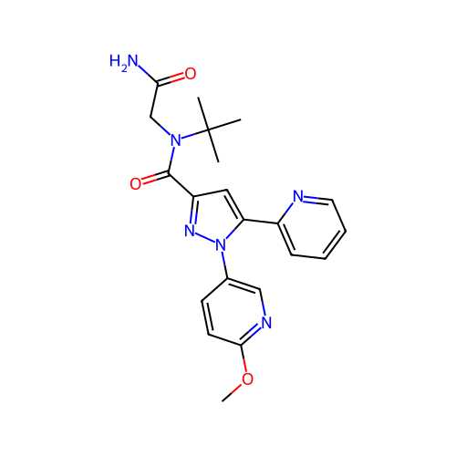 COc1ccc(-n2nc(C(=O)N(CC(N)=O)C(C)(C)C)cc2-c2ccccn2)cn1